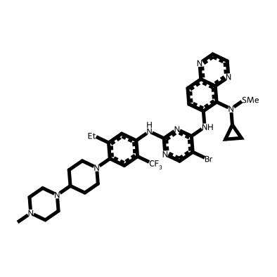 CCc1cc(Nc2ncc(Br)c(Nc3ccc4nccnc4c3N(SC)C3CC3)n2)c(C(F)(F)F)cc1N1CCC(N2CCN(C)CC2)CC1